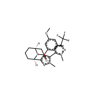 COc1cc(C)cc(C(=O)N2[C@H]3CCC[C@@H]2c2nn(C)c(-c4cc(C(F)(F)F)nn4C)c2C3)c1